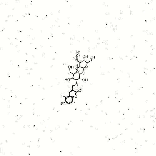 [N-]=[N+]=N[C@@H]1C(O)[C@H](SC2O[C@H](CO)C(O)C(OCc3cc4c(F)c(F)ccc4oc3=O)[C@H]2O)OC(CO)[C@@H]1O